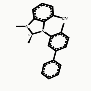 Cc1ccc(-c2ccccc2)cc1N1c2c(C#N)cccc2N(C)[C@@H]1C